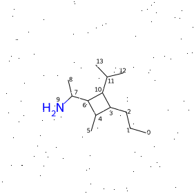 CCCC1C(C)C(C(C)N)C1C(C)C